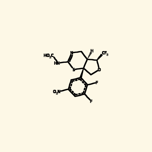 O=C(O)NC1=NC[C@H]2[C@@H](C(F)(F)F)OC[C@]2(c2cc([N+](=O)[O-])cc(F)c2F)S1